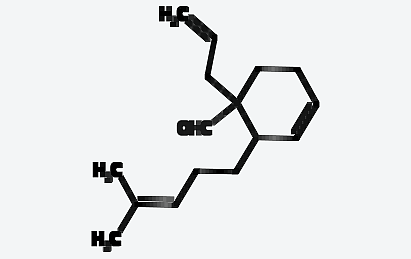 C=CCC1(C=O)CCC=CC1CCC=C(C)C